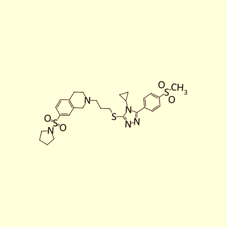 CS(=O)(=O)c1ccc(-c2nnc(SCCCN3CCc4ccc(S(=O)(=O)N5CCCC5)cc4C3)n2C2CC2)cc1